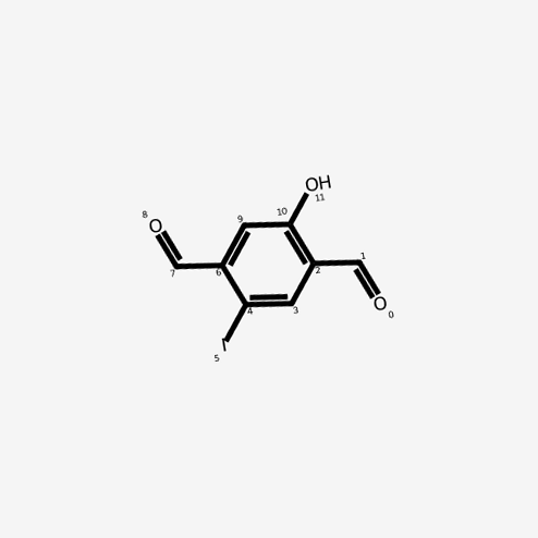 O=Cc1cc(I)c(C=O)cc1O